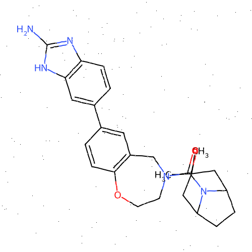 CC1(C)CC2CCC(C1)N2C(=O)N1CCOc2ccc(-c3ccc4nc(N)[nH]c4c3)cc2C1